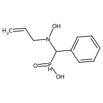 C=CCN(O)C(c1ccccc1)[PH](=O)O